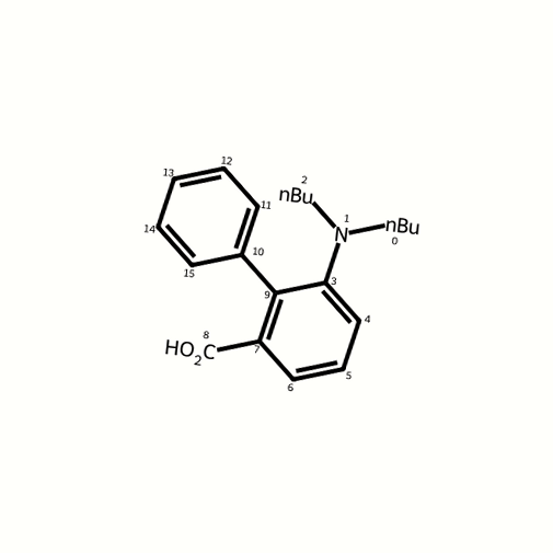 CCCCN(CCCC)c1cccc(C(=O)O)c1-c1ccccc1